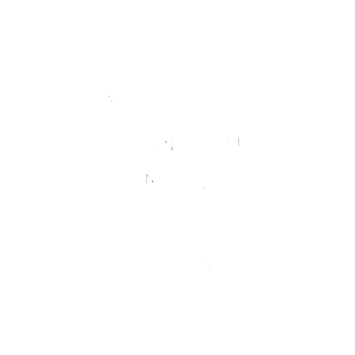 CC(=O)Cn1nc2c(c1C(F)(F)F)CSC2